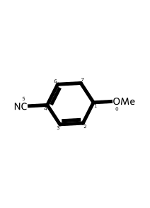 COC1C=CC(C#N)=CC1